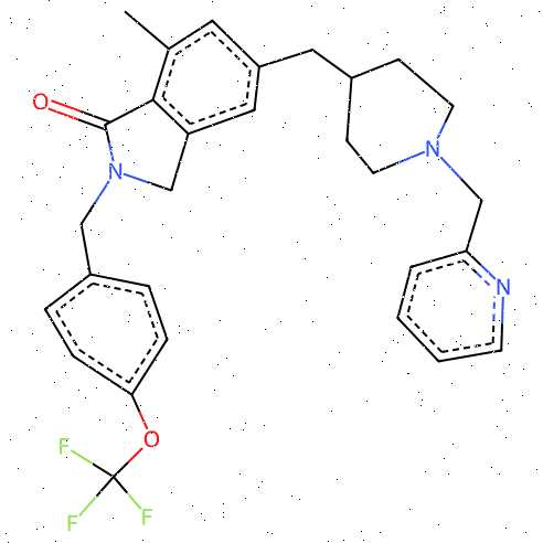 Cc1cc(CC2CCN(Cc3ccccn3)CC2)cc2c1C(=O)N(Cc1ccc(OC(F)(F)F)cc1)C2